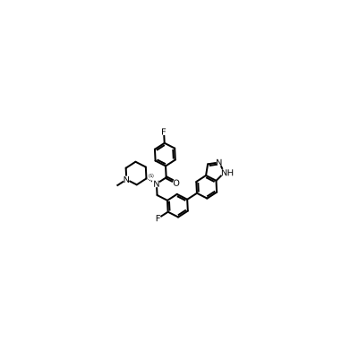 CN1CCC[C@H](N(Cc2cc(-c3ccc4[nH]ncc4c3)ccc2F)C(=O)c2ccc(F)cc2)C1